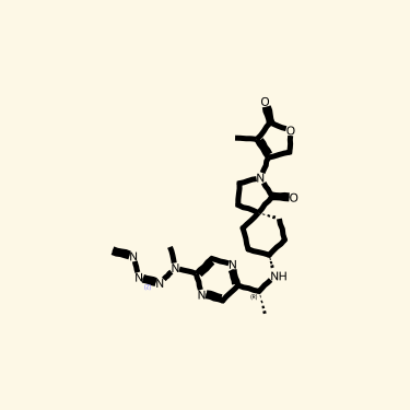 C=N/N=N\N(C)c1cnc([C@@H](C)N[C@H]2CC[C@@]3(CCN(C4=C(C)C(=O)OC4)C3=O)CC2)cn1